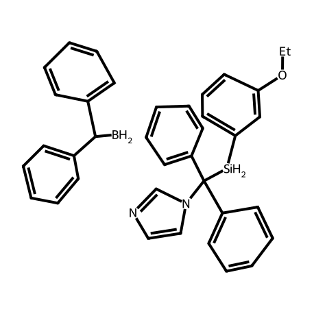 BC(c1ccccc1)c1ccccc1.CCOc1cccc([SiH2]C(c2ccccc2)(c2ccccc2)n2ccnc2)c1